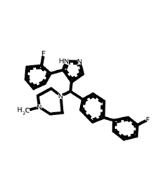 CN1CCN(C(c2ccc(-c3cccc(F)c3)cc2)c2cn[nH]c2-c2ccccc2F)CC1